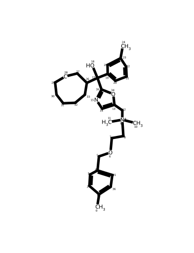 Cc1ccc(COCC[N+](C)(C)Cc2cnc(C(O)(c3cccc(C)c3)C3CCCCCCC3)o2)cc1